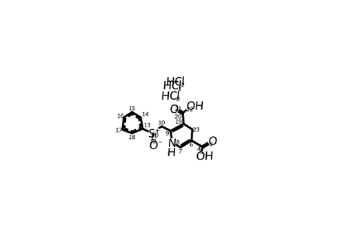 Cl.Cl.Cl.O=C(O)C1=CNC(C[S@+]([O-])c2ccccc2)=C(C(=O)O)C1